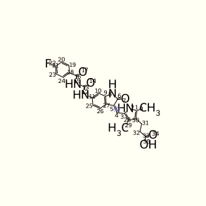 Cc1[nH]c(/C=C2\C(=O)Nc3cc(NC(=O)NC(=O)c4ccc(F)cc4)ccc32)c(C)c1CCC(=O)O